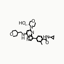 Cc1cc(-c2cnn3c(NCC4CCOCC4)cc(N4CCOC[C@H]4CO)nc23)ccc1C(=O)NC1CC1